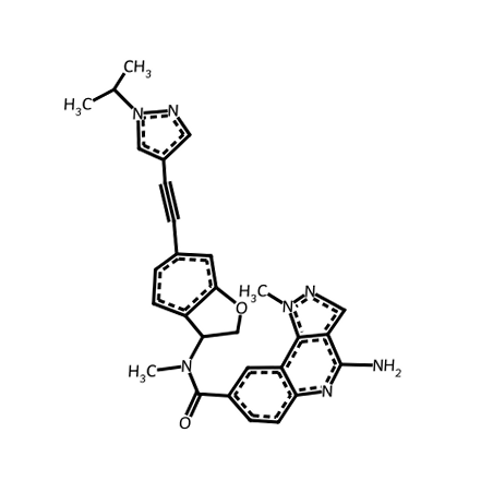 CC(C)n1cc(C#Cc2ccc3c(c2)OCC3N(C)C(=O)c2ccc3nc(N)c4cnn(C)c4c3c2)cn1